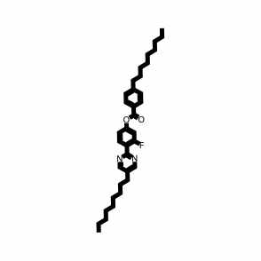 CCCCCCCCCc1ccc(C(=O)Oc2ccc(-c3ncc(CCCCCCCCC)cn3)c(F)c2)cc1